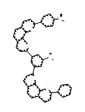 O=[N+]([O-])c1ccc(-c2ccc3ccc4ccc(-c5cc(-c6ccc7ccc8ccc(-c9ccccc9)nc8c7n6)cc([N+](=O)[O-])c5)nc4c3n2)cc1